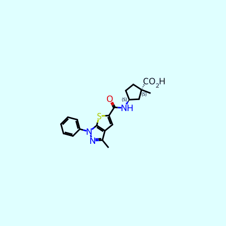 Cc1nn(-c2ccccc2)c2sc(C(=O)N[C@H]3CC[C@](C)(C(=O)O)C3)cc12